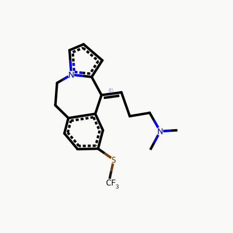 CN(C)CC/C=C1\c2cc(SC(F)(F)F)ccc2CCn2cccc21